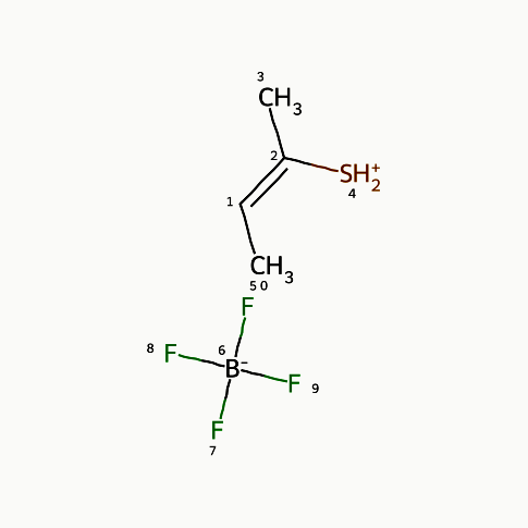 CC=C(C)[SH2+].F[B-](F)(F)F